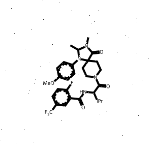 COc1ccc(N2C(C)N(C)C(=O)C23CCN(C(=O)C(NC(=O)c2cc(C(F)(F)F)ccc2F)C(C)C)CC3)cc1